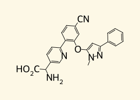 Cn1nc(-c2ccccc2)cc1Oc1cc(C#N)ccc1-c1ccc(C(N)C(=O)O)cn1